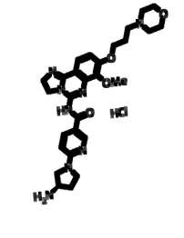 COc1c(OCCCN2CCOCC2)ccc2c1N=C(NC(=O)c1ccc(N3CC[C@@H](N)C3)nc1)N1CCN=C21.Cl